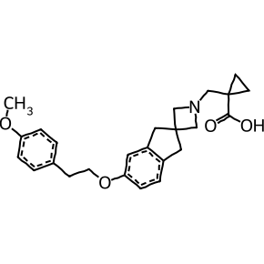 COc1ccc(CCOc2ccc3c(c2)CC2(C3)CN(CC3(C(=O)O)CC3)C2)cc1